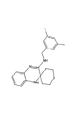 Cc1cc(C)cc(CNC2=Nc3ccccc3NC23CCSCC3)c1